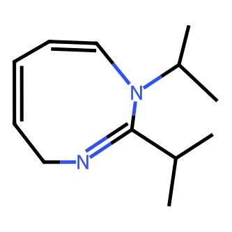 CC(C)/C1=N/C/C=C\C=C/N1C(C)C